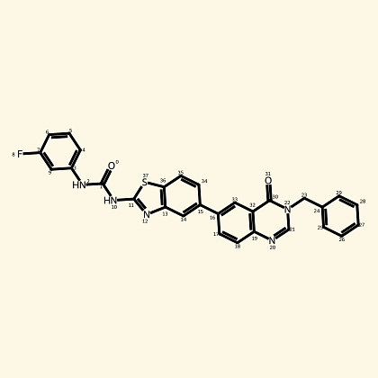 O=C(Nc1cccc(F)c1)Nc1nc2cc(-c3ccc4ncn(Cc5ccccc5)c(=O)c4c3)ccc2s1